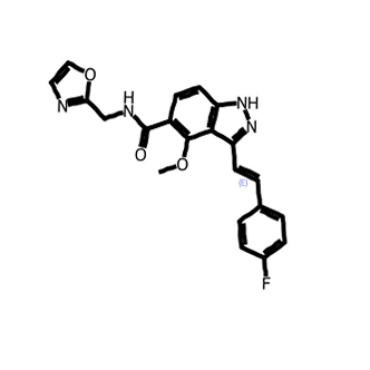 COc1c(C(=O)NCc2ncco2)ccc2[nH]nc(/C=C/c3ccc(F)cc3)c12